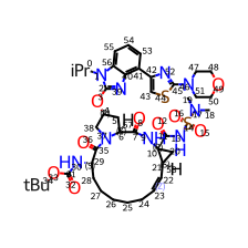 CC(C)n1c(O[C@@H]2C[C@H]3C(=O)N[C@]4(C(=O)NS(=O)(=O)N(C)C)C[C@H]4/C=C\CCCCC[C@H](NC(=O)OC(C)(C)C)C(=O)N3C2)nc2c(-c3csc(N4CCOCC4)n3)cccc21